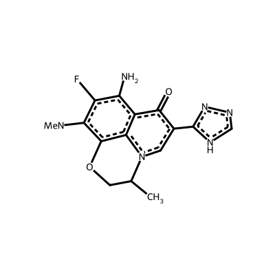 CNc1c(F)c(N)c2c(=O)c(-c3nnc[nH]3)cn3c2c1OCC3C